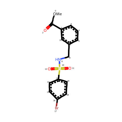 COC(=O)c1cccc(CNS(=O)(=O)c2ccc(Br)cc2)c1